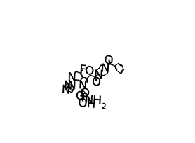 NP(=O)(O)OCn1cc(C(=O)C(=O)N2CCN(C(=O)c3ccccc3)CC2)c2c(F)cnc(-n3ccnn3)c21